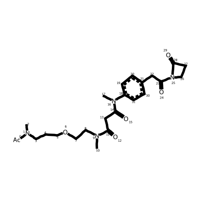 CC(=O)N(C)CCCOCCN(C)C(=O)CC(=O)N(C)c1ccc(CC(=O)N2CCC2=O)cc1